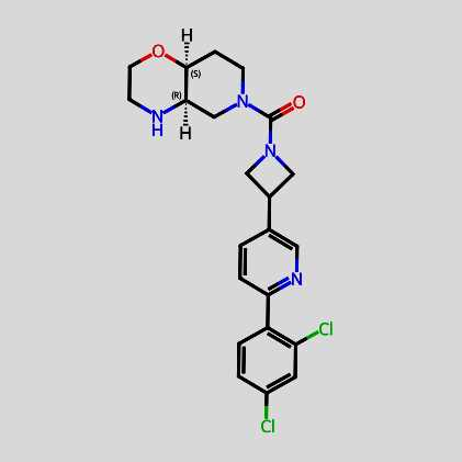 O=C(N1CC(c2ccc(-c3ccc(Cl)cc3Cl)nc2)C1)N1CC[C@@H]2OCCN[C@@H]2C1